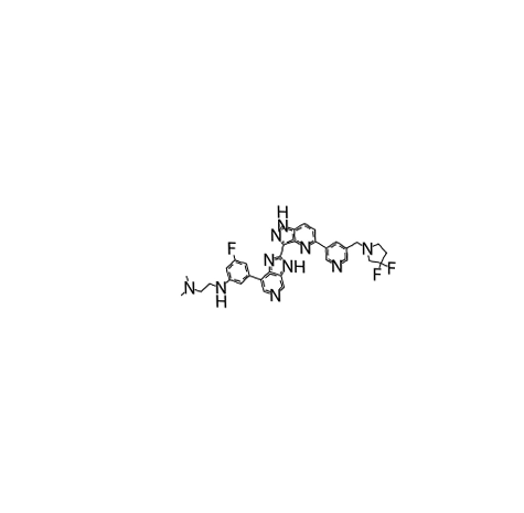 CN(C)CCNc1cc(F)cc(-c2cncc3[nH]c(-c4n[nH]c5ccc(-c6cncc(CN7CCC(F)(F)C7)c6)nc45)nc23)c1